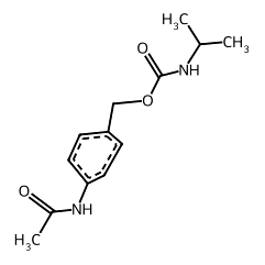 CC(=O)Nc1ccc(COC(=O)NC(C)C)cc1